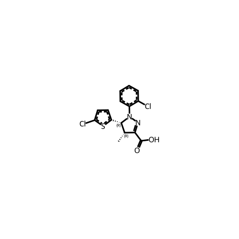 C[C@H]1C(C(=O)O)=NN(c2ccccc2Cl)[C@H]1c1ccc(Cl)s1